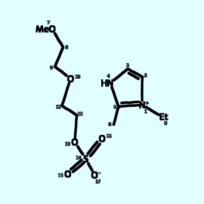 CC[n+]1cc[nH]c1C.COCCOCCOS(=O)(=O)[O-]